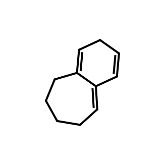 C1=CC2=CCCCCC2=CC1